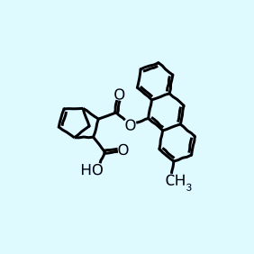 Cc1ccc2cc3ccccc3c(OC(=O)C3C4C=CC(C4)C3C(=O)O)c2c1